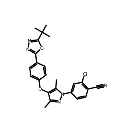 Cc1nn(-c2ccc(C#N)c(Cl)c2)c(C)c1Oc1ccc(-c2nnc(C(C)(C)C)o2)cc1